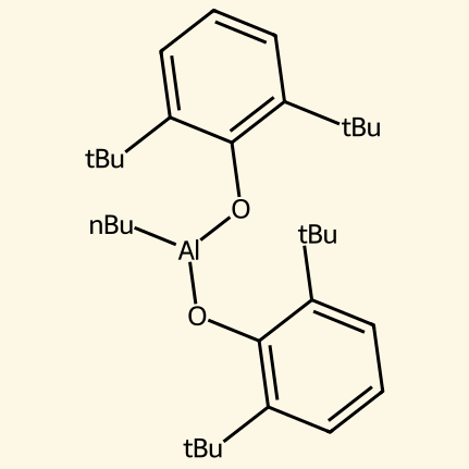 CCC[CH2][Al]([O]c1c(C(C)(C)C)cccc1C(C)(C)C)[O]c1c(C(C)(C)C)cccc1C(C)(C)C